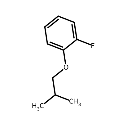 CC(C)COc1ccccc1F